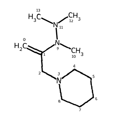 C=C(CN1CCCCC1)N(C)N(C)C